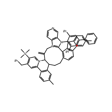 C=C1C[n+]2c(n(-c3c(C(C)C)cc(-c4ccccc4)cc3C(C)C)c3cnccc32)-c2c(ccc3c2sc2ccc(C)cc23)CCC2c3cc(C)ccc3-c3cc(CC(C)C)c([Si](C)(C)C)c[n+]3C12